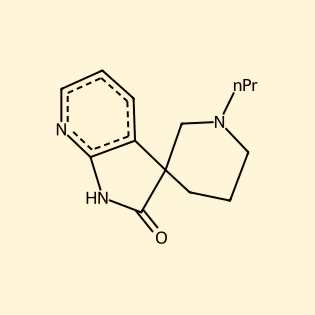 CCCN1CCCC2(C1)C(=O)Nc1ncccc12